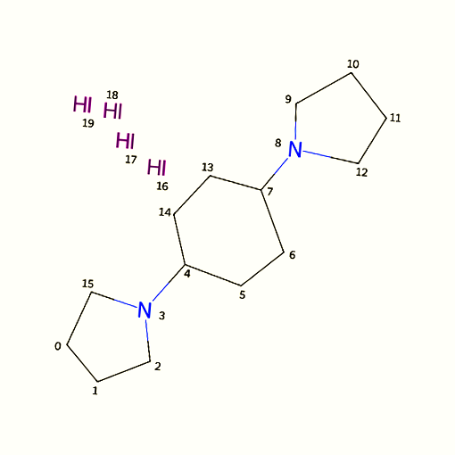 C1CCN(C2CCC(N3CCCC3)CC2)C1.I.I.I.I